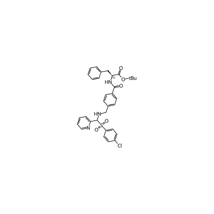 CC(C)(C)OC(=O)[C@H](Cc1ccccc1)NC(=O)c1ccc(CNC(c2ccccn2)S(=O)(=O)c2ccc(Cl)cc2)cc1